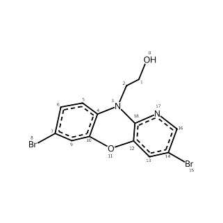 OCCN1c2ccc(Br)cc2Oc2cc(Br)cnc21